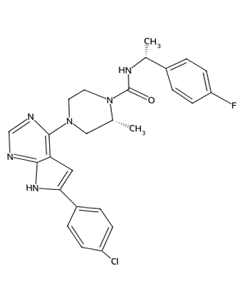 C[C@@H]1CN(c2ncnc3[nH]c(-c4ccc(Cl)cc4)cc23)CCN1C(=O)N[C@H](C)c1ccc(F)cc1